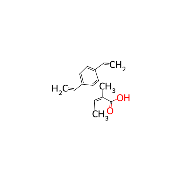 C=Cc1ccc(C=C)cc1.CC=C(C)C(=O)O